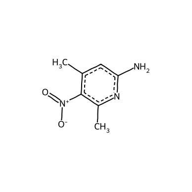 Cc1cc(N)nc(C)c1[N+](=O)[O-]